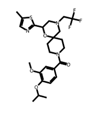 COc1cc(C(=O)N2CCC3(CC2)CN(CC(F)(F)F)CC(c2ncc(C)s2)O3)ccc1OC(C)C